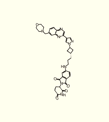 O=C1CCC(N2C(=O)c3ccc(NCCC[C@H]4C[C@H](n5cc(-c6cnc7ccc(CN8CCOCC8)cc7n6)cn5)C4)cc3C2=O)C(=O)N1